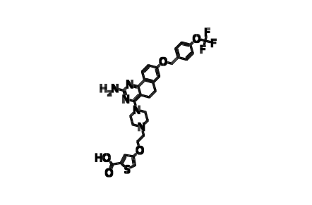 Nc1nc2c(c(N3CCN(CCOc4csc(C(=O)O)c4)CC3)n1)CCc1cc(OCc3ccc(OC(F)(F)F)cc3)ccc1-2